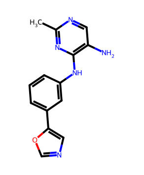 Cc1ncc(N)c(Nc2cccc(-c3cnco3)c2)n1